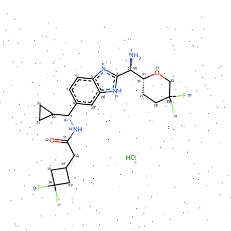 Cl.N[C@H](c1nc2ccc([C@H](NC(=O)CC3CC(F)(F)C3)C3CC3)cc2[nH]1)[C@H]1CCC(F)(F)CO1